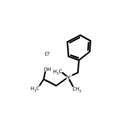 CC(O)C[N+](C)(C)Cc1ccccc1.[Cl-]